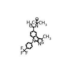 Cc1snc2c1c1cc(C(=O)N=S(C)(C)=O)ccc1n2-c1ccc(C(F)(F)F)cc1